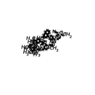 C=CC(=O)N1CCN(c2nc(O[C@H](C)CN3CCC(COCC(=O)N[C@H](C(=O)N4C[C@H](O)C[C@H]4C(=O)N[C@@H](C)c4ccc(-c5scnc5C)cc4)C(C)(C)C)CC3)nc3c2CCN(c2cc(O)cc4ccccc24)C3)C[C@@H]1CC#N